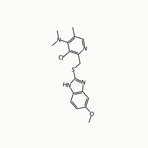 COc1ccc2[nH]c(SCc3ncc(C)c(N(C)C)c3Cl)nc2c1